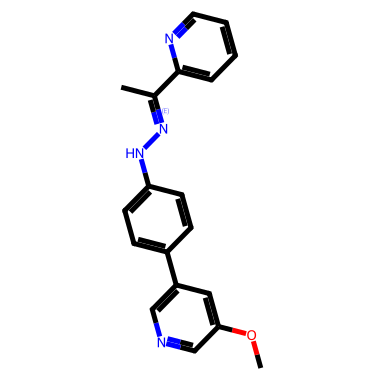 COc1cncc(-c2ccc(N/N=C(\C)c3ccccn3)cc2)c1